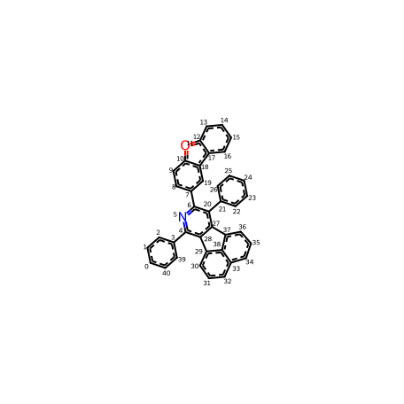 c1ccc(-c2nc(-c3ccc4oc5ccccc5c4c3)c(-c3ccccc3)c3c2-c2cccc4cccc-3c24)cc1